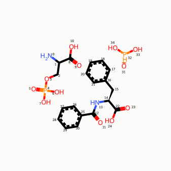 NC(COP(=O)(O)O)C(=O)O.O=C(N[C@@H](Cc1ccccc1)C(=O)O)c1ccccc1.O=[PH](O)O